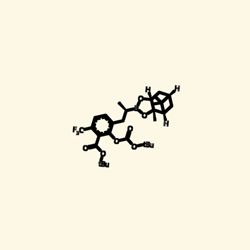 C[C@H](Cc1ccc(C(F)(F)F)c(C(=O)OC(C)(C)C)c1OC(=O)OC(C)(C)C)B1O[C@@H]2C[C@@H]3C[C@@H](C3(C)C)[C@]2(C)O1